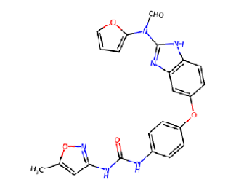 Cc1cc(NC(=O)Nc2ccc(Oc3ccc4[nH]c(N(C=O)c5ccco5)nc4c3)cc2)no1